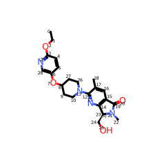 CCOc1ccc(OC2CCN(c3nc4c(cc3C)C(=O)N(C)[C@H]4CO)CC2)cn1